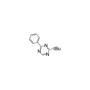 CC(C)(C)c1ncnc(-c2ccccc2)n1